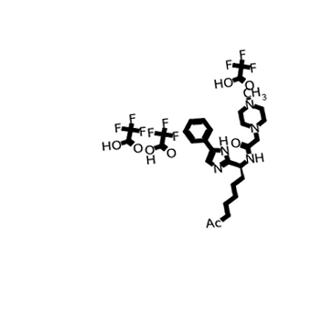 CC(=O)CCCCC[C@H](NC(=O)CN1CCN(C)CC1)c1ncc(-c2ccccc2)[nH]1.O=C(O)C(F)(F)F.O=C(O)C(F)(F)F.O=C(O)C(F)(F)F